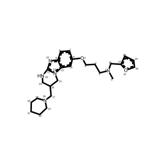 CN(CCCOc1ccc2nc3n(c2c1)CC(CN1CCCCC1)CN3)Cc1ccco1